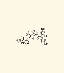 CCc1c(N)[nH]c2ccc[n+](CC3=C(C(=O)O)N4C(=O)[C@@H](NC(=O)/C(=N\O[C@@H](C)C(=O)O)c5nc(N)sc5Cl)C4SC3)c12